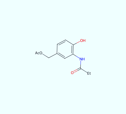 CCC(=O)Nc1cc(COC(C)=O)ccc1O